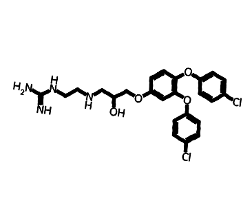 N=C(N)NCCNCC(O)COc1ccc(Oc2ccc(Cl)cc2)c(Oc2ccc(Cl)cc2)c1